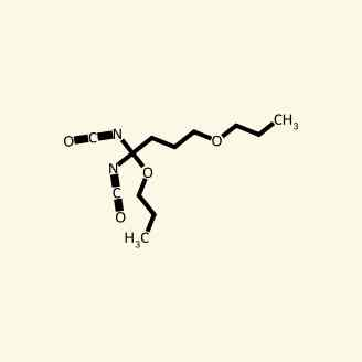 CCCOCCCC(N=C=O)(N=C=O)OCCC